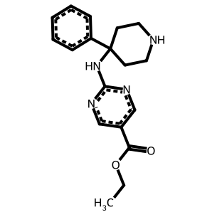 CCOC(=O)c1cnc(NC2(c3ccccc3)CCNCC2)nc1